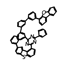 c1ccc(-c2ccc3sc4cccc(-c5nc(-c6ccccc6)nc(-c6cccc(-c7cccc(-c8cccc(-c9cccc%10c9oc9ccccc9%10)c8)c7)c6)n5)c4c3c2)cc1